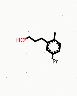 Cc1ccc(C(C)C)cc1CCCO